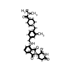 Cc1cc(CNc2cccc3c2C(=O)N(C2CCC(=O)NC2=O)C3=O)ccc1CN1CCC(C(=O)N(C)C)CC1